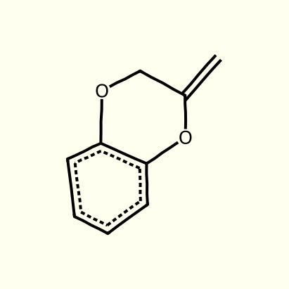 C=C1COc2ccccc2O1